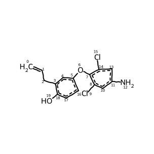 C=CCc1cc(Oc2c(Cl)cc(N)cc2Cl)ccc1O